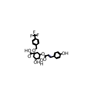 O=C(/C=C/c1ccc(O)cc1)O[C@@H]1C[C@](OCc2ccc(C(F)(F)F)cc2)(C(=O)O)C[C@H](O)[C@H]1O